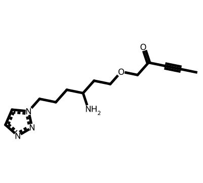 CC#CC(=O)COCCC(N)CCCn1ccnn1